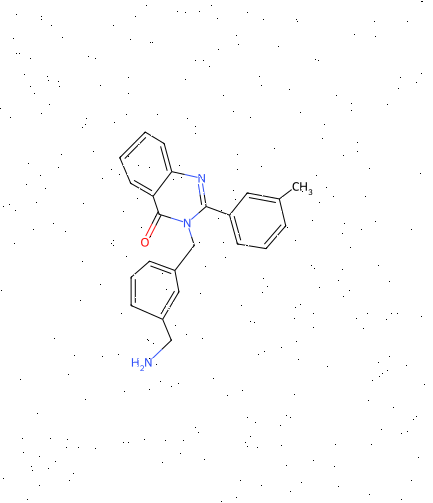 Cc1cccc(-c2nc3ccccc3c(=O)n2Cc2cccc(CN)c2)c1